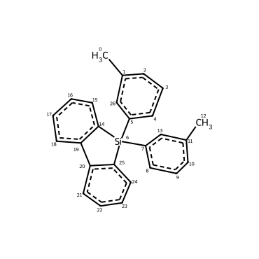 Cc1cccc([Si]2(c3cccc(C)c3)c3ccccc3-c3ccccc32)c1